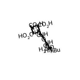 CCCCNC(=O)[C@H](N)CC(=O)NCCOCCNC(=O)CN1CCN(CC(=O)O)CCN(CC(=O)O)CCN(CC(=O)O)CC1